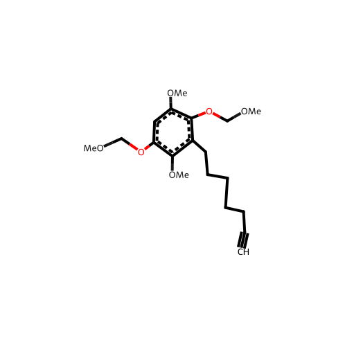 C#CCCCCCc1c(OC)c(OCOC)cc(OC)c1OCOC